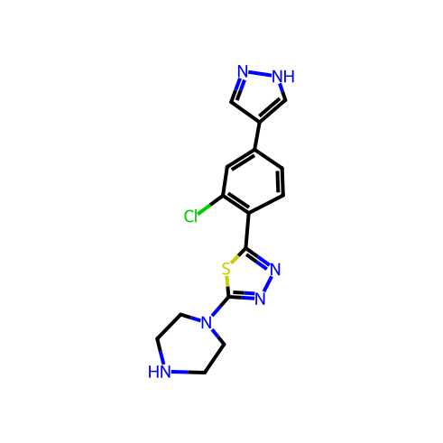 Clc1cc(-c2cn[nH]c2)ccc1-c1nnc(N2CCNCC2)s1